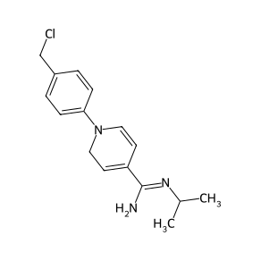 CC(C)N=C(N)C1=CCN(c2ccc(CCl)cc2)C=C1